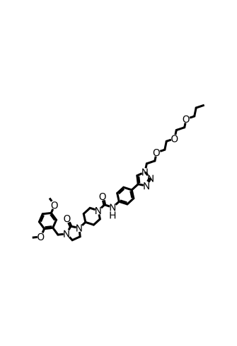 CCCOCCOCCOCCn1cc(-c2ccc(NC(=O)N3CCC(N4CCN(Cc5cc(OC)ccc5OC)C4=O)CC3)cc2)nn1